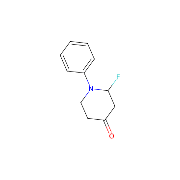 O=C1CCN(c2ccccc2)C(F)C1